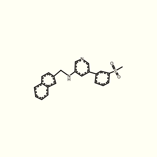 CS(=O)(=O)c1cccc(-c2cncc(NCc3ccc4ccccc4c3)c2)c1